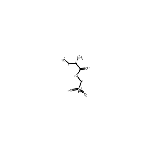 N[C@@H](CS)C(=O)OC[SH](=O)=O